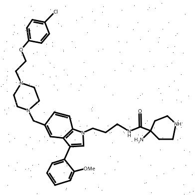 COc1ccccc1-c1cn(CCCNC(=O)C2(N)CCNCC2)c2ccc(CN3CCN(CCOc4ccc(Cl)cc4)CC3)cc12